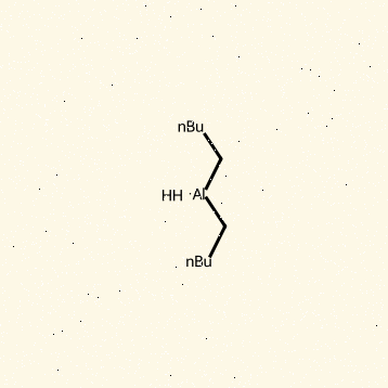 CCCC[CH2][Al][CH2]CCCC.[HH]